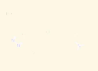 CCCc1nnc(-c2cc(-c3ccc(C(=O)N4CCCCC4)cc3Cl)cs2)o1